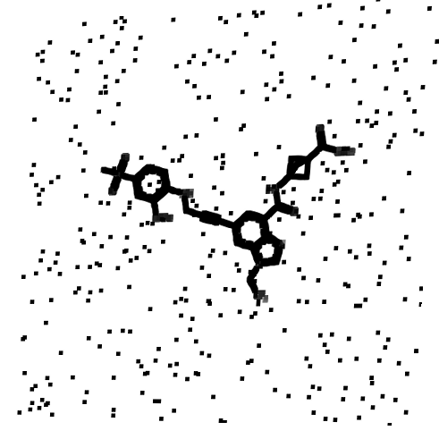 COC(=O)C12CC(NC(=O)c3cc(C#CCNc4ccc(S(C)(=O)=O)cc4OC)cc4c3ncn4CC(F)(F)F)(C1)C2